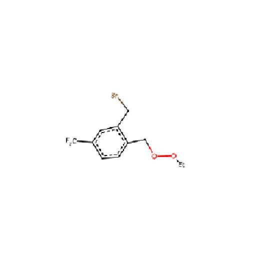 CCOOCc1ccc(C(F)(F)F)cc1CBr